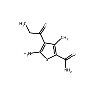 CCC(=O)c1c(N)sc(C(N)=O)c1C